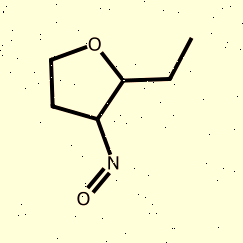 CCC1OCCC1N=O